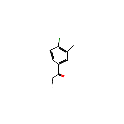 Cc1cc(C(=O)C[N+](=O)[O-])ccc1Cl